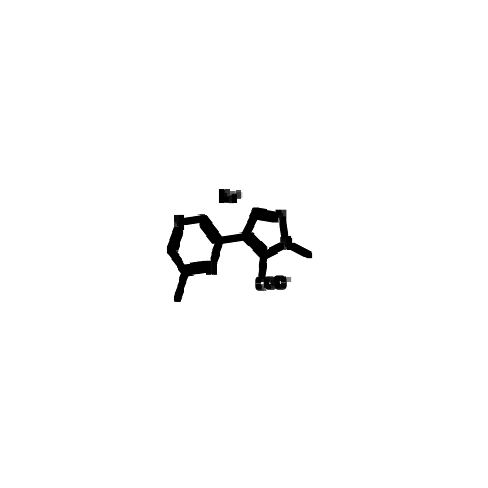 Cc1cncc(-c2cnn(C)c2C(=O)[O-])n1.[Na+]